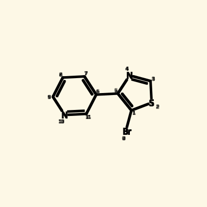 Brc1scnc1-c1cccnc1